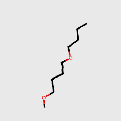 [CH2]OCCCCOCCCC